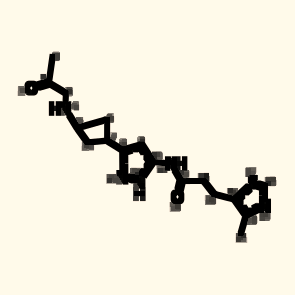 CC(=O)CNC1CC(c2cc(NC(=O)CCc3scnc3C)[nH]n2)C1